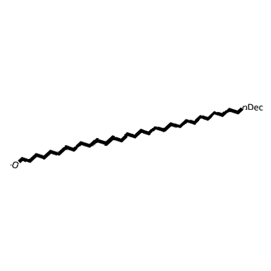 CCCCCCCCCCCCCCCCCCCCCCCCCCCCCCCCCCCCCCCC[O]